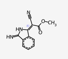 COC(=O)/C(C#N)=C1/NC(=N)c2ccccc21